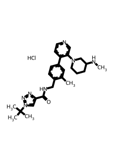 CNC1CCCN(c2cnccc2-c2ccc(CNC(=O)c3cn(C(C)(C)C)nn3)c(C)c2)C1.Cl